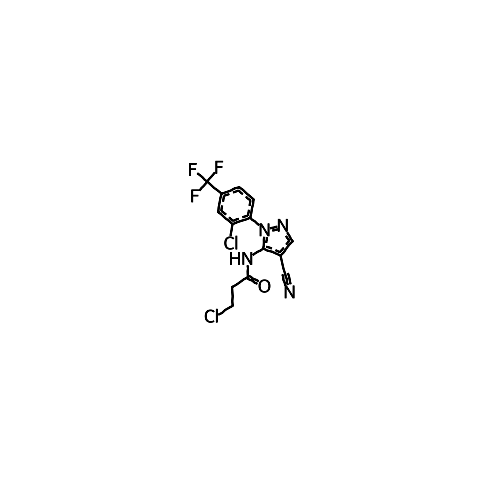 N#Cc1cnn(-c2ccc(C(F)(F)F)cc2Cl)c1NC(=O)CCCl